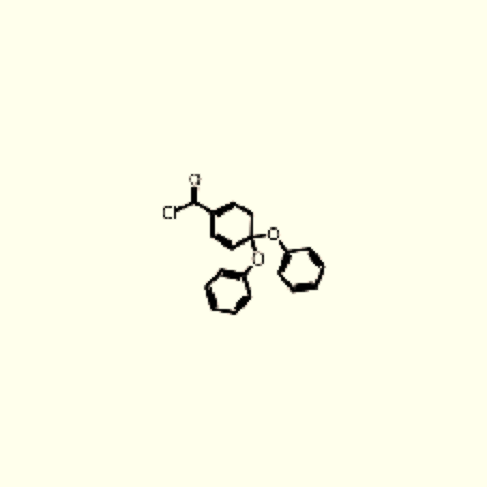 O=C(Cl)C1=CCC(Oc2ccccc2)(Oc2ccccc2)C=C1